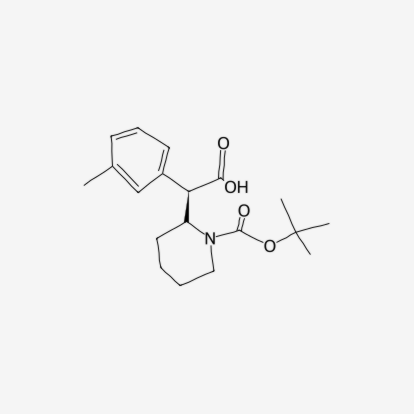 Cc1cccc([C@@H](C(=O)O)C2CCCCN2C(=O)OC(C)(C)C)c1